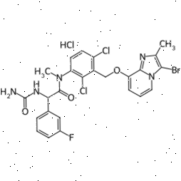 Cc1nc2c(OCc3c(Cl)ccc(N(C)C(=O)C(NC(N)=O)c4cccc(F)c4)c3Cl)cccn2c1Br.Cl